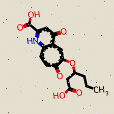 CCCC(CC(=O)O)Oc1cc2c(=O)cc(C(=O)O)[nH]c2ccc1=O